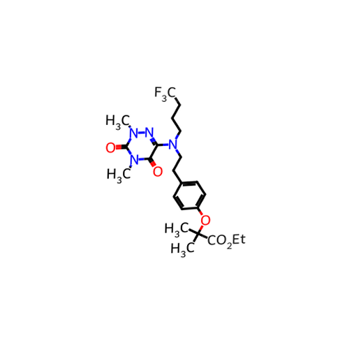 CCOC(=O)C(C)(C)Oc1ccc(CCN(CCCC(F)(F)F)c2nn(C)c(=O)n(C)c2=O)cc1